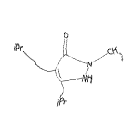 CC(C)Cc1c(C(C)C)[nH]n(C)c1=O